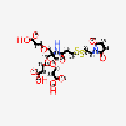 O=C(O)CCOCC(COCCC(=O)O)(COCCC(=O)O)NC(=O)CCSSCCN1C(=O)C=CC1=O